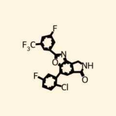 O=C1NCc2c1cc(-c1cc(F)ccc1Cl)c1oc(-c3cc(F)cc(C(F)(F)F)c3)nc21